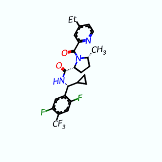 CCc1ccnc(C(=O)N2[C@H](C)CC[C@@H]2C(=O)N[C@@H](c2cc(F)c(C(F)(F)F)cc2F)C2CC2)c1